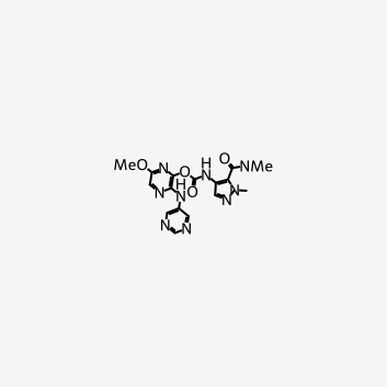 CNC(=O)c1c(NC(=O)Oc2nc(OC)cnc2Nc2cncnc2)cnn1C